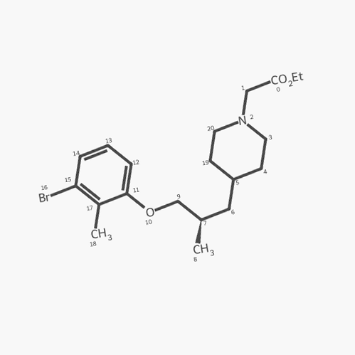 CCOC(=O)CN1CCC(C[C@@H](C)COc2cccc(Br)c2C)CC1